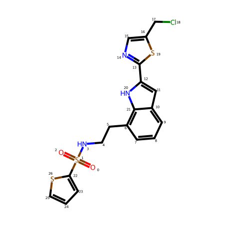 O=S(=O)(NCCc1cccc2cc(-c3ncc(CCl)s3)[nH]c12)c1cccs1